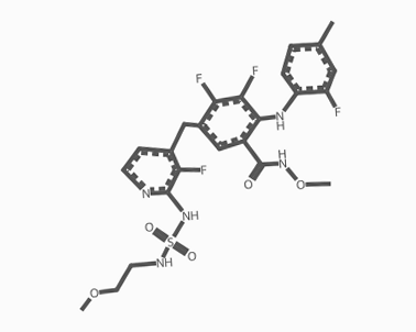 COCCNS(=O)(=O)Nc1nccc(Cc2cc(C(=O)NOC)c(Nc3ccc(C)cc3F)c(F)c2F)c1F